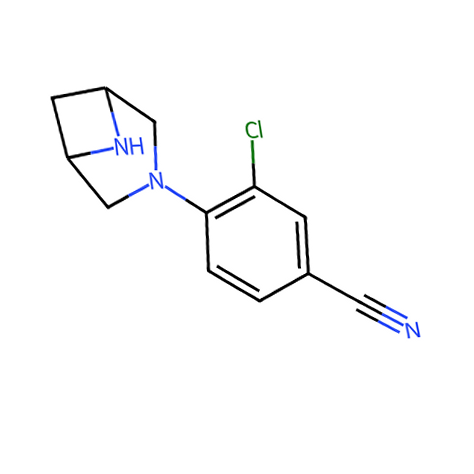 N#Cc1ccc(N2CC3CC(C2)N3)c(Cl)c1